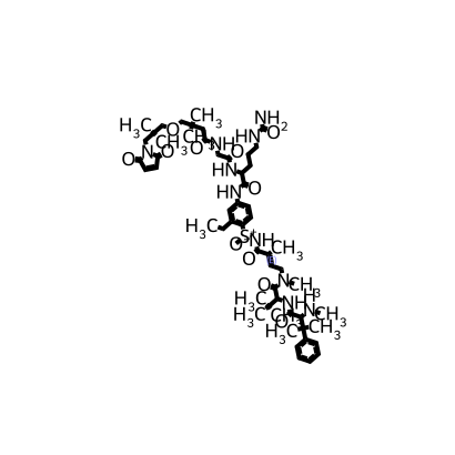 CCc1cc(NC(=O)C(CCCNC(N)=O)NC(=O)CNC(=O)CC(C)(C)COCC(C)(C)CN2C(=O)C=CC2=O)ccc1[S+]([O-])NC(=O)/C(C)=C/CN(C)C(=O)C(NC(=O)C(NC)C(C)(C)c1ccccc1)C(C)(C)C